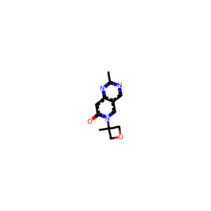 Cc1ncc2cn(C3(C)COC3)c(=O)cc2n1